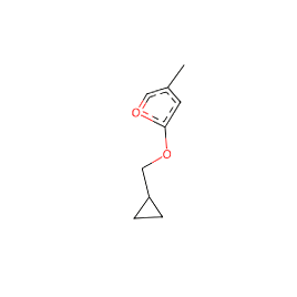 Cc1coc(OCC2CC2)c1